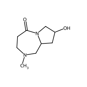 CN1CCC(=O)N2CC(O)CC2C1